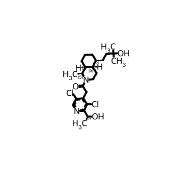 C[C@H](O)c1ncc(Cl)c(CC(=O)N2CC[C@H]3[C@H](CCC(C)(C)O)CCC[C@@H]3[C@@H]2C)c1Cl